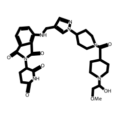 COCC(O)N1CCC(C(=O)N2CCC(n3cc(CNc4cccc5c4C(=O)N(C4CCC(=O)NC4=O)C5=O)cn3)CC2)CC1